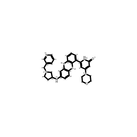 O=c1cc(N2CCOCC2)cc(-c2cccc3c2Sc2ccc(NC4CCN(Cc5cccnc5)C4)cc2S3)[nH]1